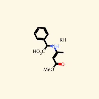 COC(=O)C=C(C)NC(C(=O)O)c1ccccc1.[KH]